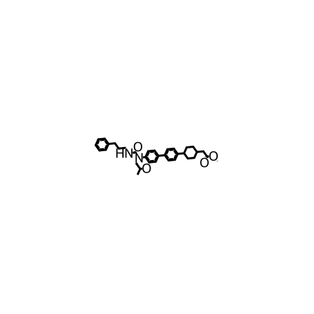 COC(=O)CC1CCC(c2ccc(-c3ccc4c(c3)OC(C)CN4C(=O)NCCCc3ccccc3)cc2)CC1